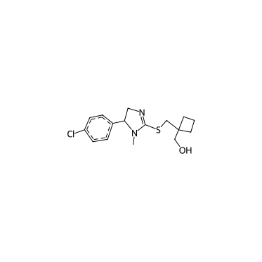 CN1C(SCC2(CO)CCC2)=NCC1c1ccc(Cl)cc1